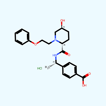 C[C@H](NC(=O)[C@H]1CC[C@H](O)CN1CCOc1ccccc1)c1ccc(C(=O)O)cc1.Cl